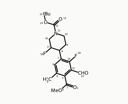 COC(=O)c1c(C)cc(C2CCN(C(=O)OC(C)(C)C)CC2F)c(F)c1C=O